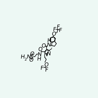 NS(=O)(=O)CCNC(=O)c1c2c(nn1CCCOC(F)F)C[C@]1(CCc3cc(OCC(F)(F)F)ccc31)NC2=O